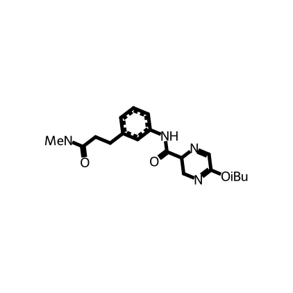 CNC(=O)CCc1cccc(NC(=O)C2CN=C(OCC(C)C)C=N2)c1